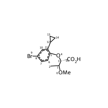 COC(C)[C@H](Oc1ccc(Br)cc1C1CC1)C(=O)O